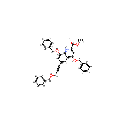 COC(=O)c1cc(OCc2ccccc2)c2cc(C#CCOCc3ccccc3)cc(OCc3ccccc3)c2n1